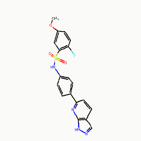 COc1ccc(F)c(S(=O)(=O)Nc2ccc(-c3ccc4cn[nH]c4n3)cc2)c1